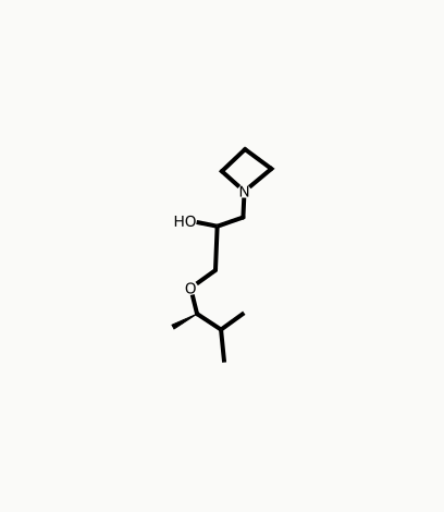 CC(C)[C@@H](C)OCC(O)CN1CCC1